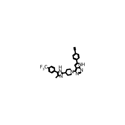 C#Cc1ccc(-c2cc3c(N4CCC(c5nc(C)c(-c6ccc(C(F)(F)F)cc6)[nH]5)CC4)ncnc3[nH]2)cc1